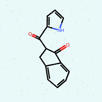 O=C(c1ccc[nH]1)C1Cc2ccccc2C1=O